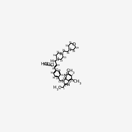 CCc1nc2c(C)cc(C)nc2n1Cc1ccc(C=CCN2CCN(CCN3CCOCC3)CC2)cc1.Cl.Cl.Cl